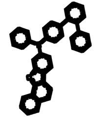 c1ccc(-c2ccccc2-c2ccc(N(c3ccccc3)c3ccc4c(c3)oc3c5ccccc5ccc43)cc2)cc1